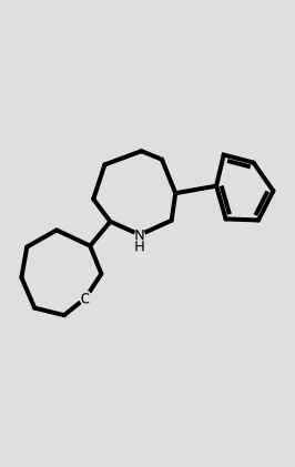 c1ccc(C2CCCCC(C3CCCCCCC3)NC2)cc1